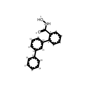 O=C(NO)c1ccccc1-c1cccc(-c2ccccc2)c1